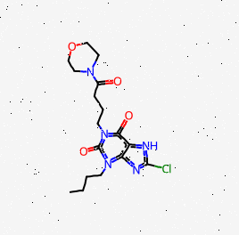 CCCCn1c(=O)n(CCCC(=O)N2CCOCC2)c(=O)c2[nH]c(Cl)nc21